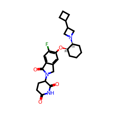 O=C1CCC(N2Cc3cc(O[C@@H]4CCCC[C@@H]4N4CC(C5CCC5)C4)c(F)cc3C2=O)C(=O)N1